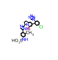 Cc1cc(NC(=O)O)ccc1-c1cnc(C2CCc3cc(-c4cc(Cl)ccc4-n4cnnn4)cc(=O)n32)[nH]1